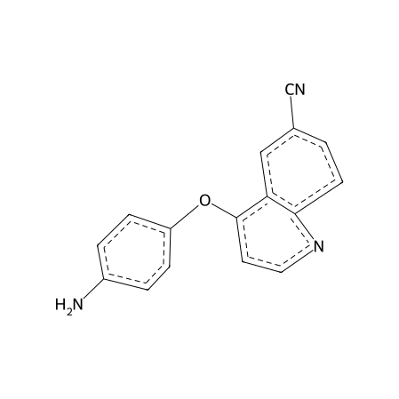 N#Cc1ccc2nccc(Oc3ccc(N)cc3)c2c1